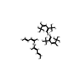 CC(=CC(=[CH][Ru][CH]=C(C=C(C)C(C)(C)C)C(C)(C)C)C(C)(C)C)C(C)(C)C.CC=CC=[C](C)[Ru][C](C)=CC=CC